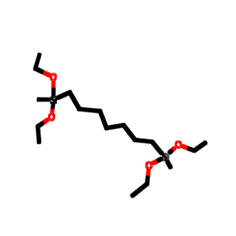 CCO[Si](C)(CCCCCCC[Si](C)(OCC)OCC)OCC